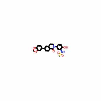 CS(=O)(=O)Nc1cc(N2CCc3cc(-c4ccc5c(c4)OCO5)ccc3C2=O)ccc1O